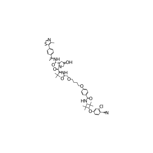 Cc1ncsc1-c1ccc([C@H](C)NC(=O)[C@@H]2C[C@@H](O)CN2C(=O)[C@@H](NC(=O)COCCCCOc2ccc(C(=O)N[C@H]3C(C)(C)[C@H](Oc4ccc(C#N)c(Cl)c4)C3(C)C)cc2)C(C)(C)C)cc1